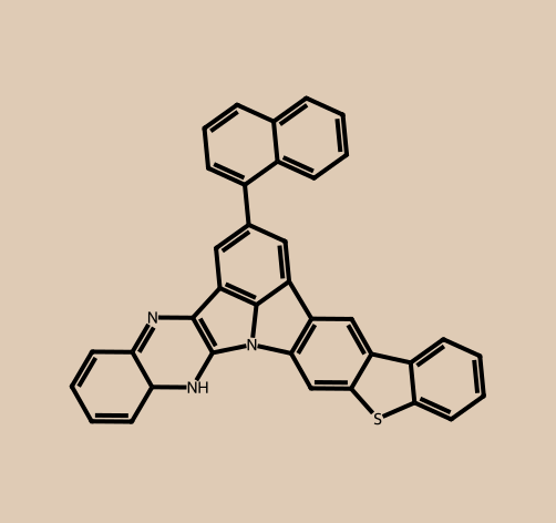 C1=CC2=Nc3c(n4c5cc6sc7ccccc7c6cc5c5cc(-c6cccc7ccccc67)cc3c54)NC2C=C1